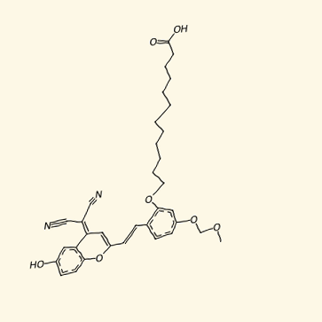 COCOc1ccc(/C=C/C2=CC(=C(C#N)C#N)c3cc(O)ccc3O2)c(OCCCCCCCCCCCC(=O)O)c1